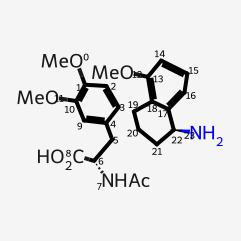 COc1ccc(C[C@H](NC(C)=O)C(=O)O)cc1OC.COc1cccc2c1CCC[C@@H]2N